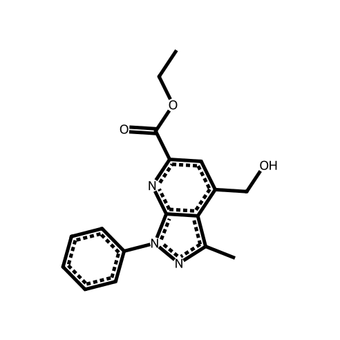 CCOC(=O)c1cc(CO)c2c(C)nn(-c3ccccc3)c2n1